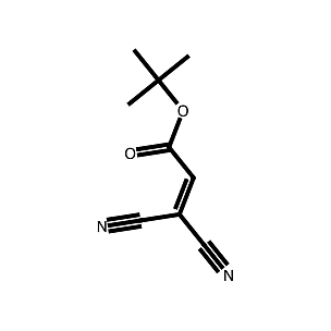 CC(C)(C)OC(=O)C=C(C#N)C#N